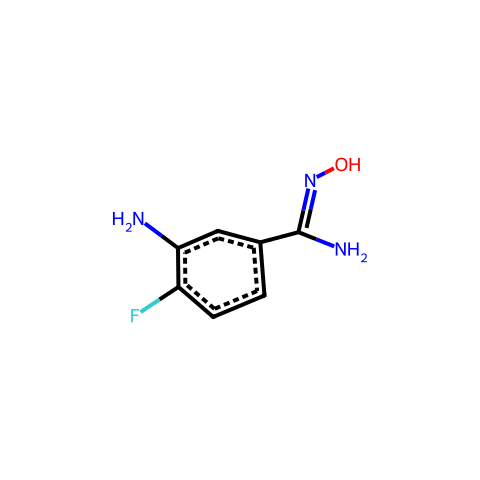 N/C(=N\O)c1ccc(F)c(N)c1